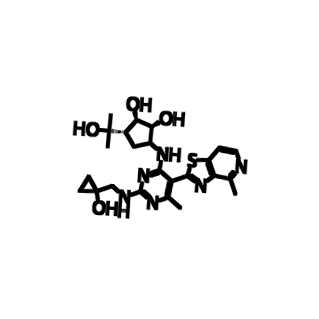 Cc1nc(NCC2(O)CC2)nc(NC2C[C@H](C(C)(C)O)[C@@H](O)[C@H]2O)c1-c1nc2c(C)nccc2s1